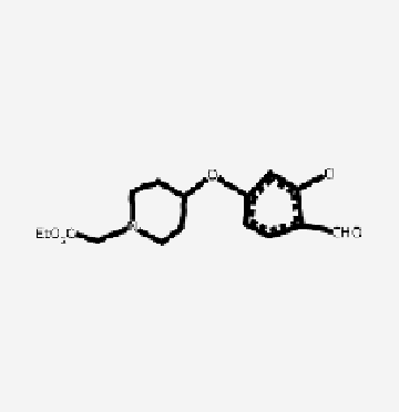 CCOC(=O)CN1CCC(Oc2ccc(C=O)c(Cl)c2)CC1